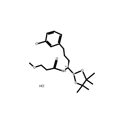 COCCC(=O)N[C@@H](CCCc1cccc(Cl)c1)B1OC(C)(C)C(C)(C)O1.Cl